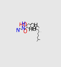 CC(C)CCC[C@@H](C)[C@H]1CC[C@H]2[C@@H]3CC=C4C[C@@H](O)C(C(=O)NCCN(C)C)C[C@]4(C)[C@H]3CC[C@]12C